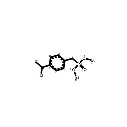 CCOP(=O)(Cc1ccc(C(C)Cl)cc1)OCC